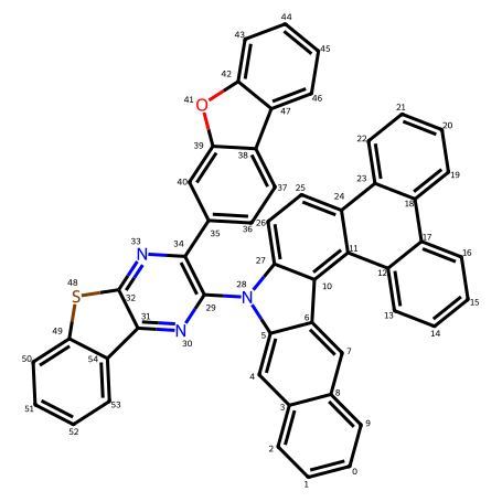 c1ccc2cc3c(cc2c1)c1c2c4ccccc4c4ccccc4c2ccc1n3-c1nc2c(nc1-c1ccc3c(c1)oc1ccccc13)sc1ccccc12